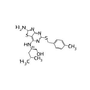 Cc1ccc(CSc2nc(N[C@@H](CO)CC(C)C)c3sc(N)nc3n2)cc1